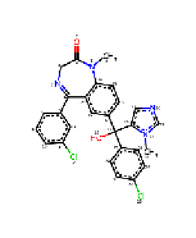 CN1C(=O)CN=C(c2cccc(Cl)c2)c2cc(C(O)(c3ccc(Cl)cc3)c3cncn3C)ccc21